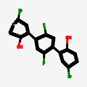 Oc1ccc(Br)cc1-c1cc(F)c(-c2cc(Br)ccc2O)cc1F